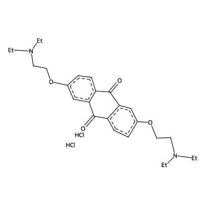 CCN(CC)CCOc1ccc2c(c1)C(=O)c1ccc(OCCN(CC)CC)cc1C2=O.Cl.Cl